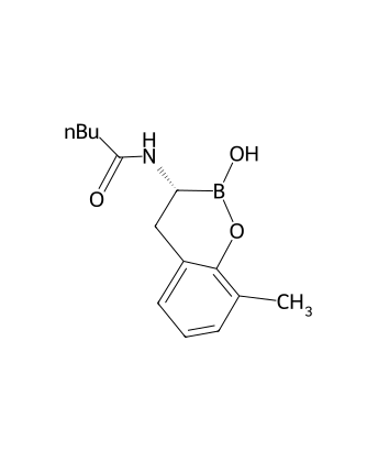 CCCCC(=O)N[C@H]1Cc2cccc(C)c2OB1O